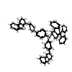 c1ccc(C2(c3ccccc3)c3ccccc3-c3cc(N(c4ccc(-c5ccc(-c6cccc7c6oc6ccccc67)cc5)cc4)c4ccc(-c5ccc6sc7ccccc7c6c5)cc4)ccc32)cc1